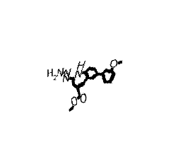 CCOC(=O)C1=Cc2cc(-c3cccc(OC)c3)ccc2NC(N=NN)C1